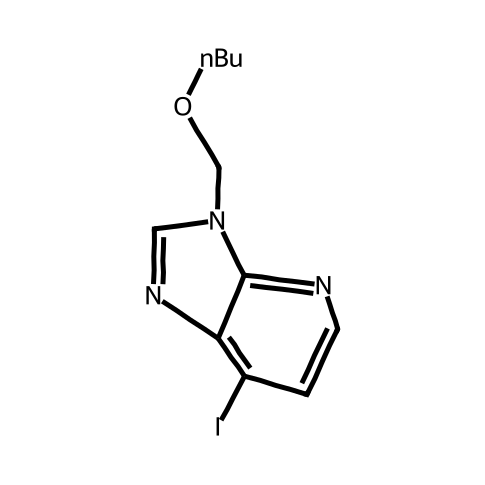 CCCCOCn1cnc2c(I)ccnc21